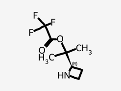 CC(C)(OC(=O)C(F)(F)F)[C@H]1CCN1